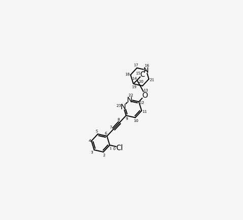 Clc1ccccc1C#Cc1ccc(OC2CN3CCC2CC3)nn1